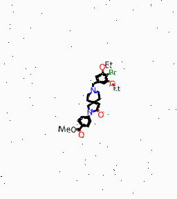 CCOc1cc(CN2CCC3(CC2)CC(=O)N(c2ccc(C(=O)OC)cc2)C3)cc(OCC)c1Br